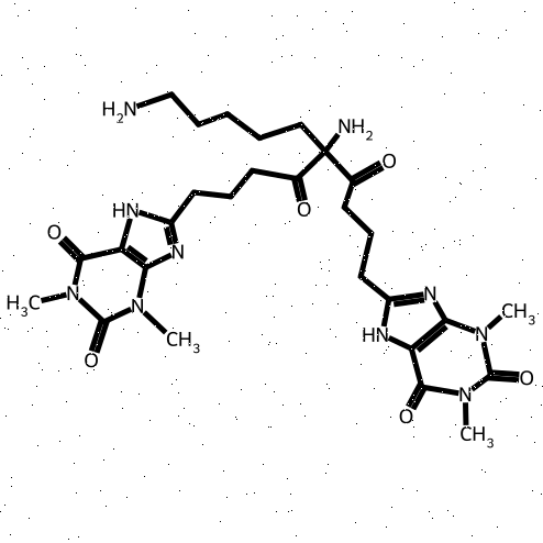 Cn1c(=O)c2[nH]c(CCCC(=O)C(N)(CCCCCN)C(=O)CCCc3nc4c([nH]3)c(=O)n(C)c(=O)n4C)nc2n(C)c1=O